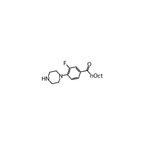 CCCCCCCCC(=O)c1ccc(N2CCNCC2)c(F)c1